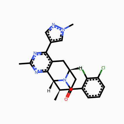 Cc1nc(-c2cnn(C)c2)c2c(n1)[C@H]1[C@H](C)CC[C@@H](C2)N1C(=O)c1cccc(Cl)c1Cl